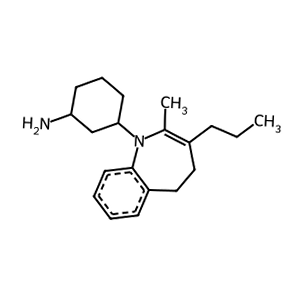 CCCC1=C(C)N(C2CCCC(N)C2)c2ccccc2CC1